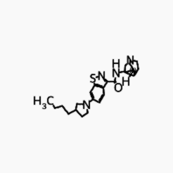 CCCCC1CCN(c2ccc3c(C(=O)N[C@@H]4CN5CCC4CC5)nsc3c2)C1